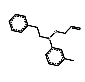 C=CCON(CCc1ccccc1)c1cccc(C)c1